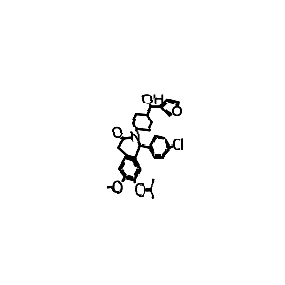 COc1cc2c(cc1OC(C)C)C(c1ccc(Cl)cc1)N(C1CCC(C(O)c3ccoc3)CC1)C(=O)C2